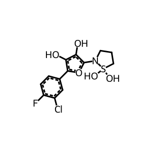 Oc1c(-c2ccc(F)c(Cl)c2)oc(N2CCCS2(O)O)c1O